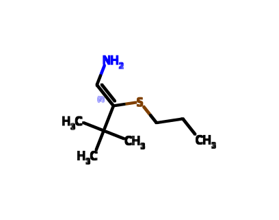 CCCS/C(=C\N)C(C)(C)C